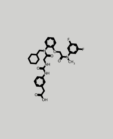 CN(C(=O)COc1ccccc1N(CC1CCCCC1)C(=O)CNC(=O)Nc1cccc(CC(=O)O)c1)c1cc(F)cc(F)c1